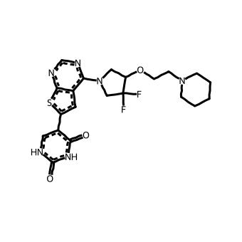 O=c1[nH]cc(-c2cc3c(N4CC(OCCN5CCCCC5)C(F)(F)C4)ncnc3s2)c(=O)[nH]1